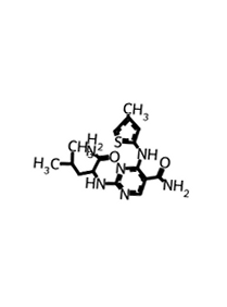 Cc1csc(Nc2nc(NC(CC(C)C)C(N)=O)ncc2C(N)=O)c1